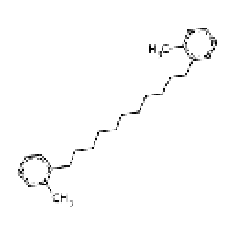 Cc1ccccc1CCCCCCCCCCCc1ccccc1C